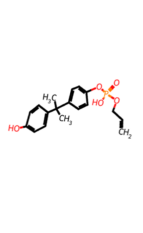 C=CCOP(=O)(O)Oc1ccc(C(C)(C)c2ccc(O)cc2)cc1